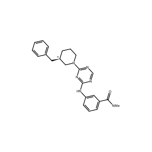 CNC(=O)c1cccc(Nc2ncnc(N3CCC[C@H](Cc4ccccc4)C3)n2)c1